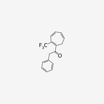 O=C(Cc1ccccc1)C1=C(C(F)(F)F)C=CC=CC1